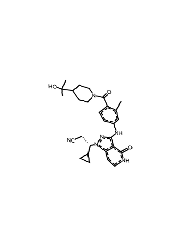 Cc1cc(Nc2nn([C@@H](CC#N)C3CC3)c3cc[nH]c(=O)c23)ccc1C(=O)N1CCC(C(C)(C)O)CC1